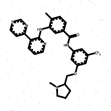 Cc1ccc(C(=O)Nc2cc(OCC3CCCN3C)cc(C(F)(F)F)c2)cc1Nc1ncccc1-c1ccncn1